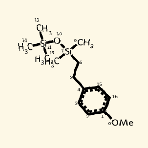 COc1ccc(CC[Si](C)(C)O[Si](C)(C)C)cc1